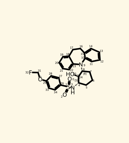 O=S(=O)(N[C@H]1CCC[C@@H](N2c3ccccc3CCc3ccccc32)[C@@H]1O)c1ccc(OCF)cc1